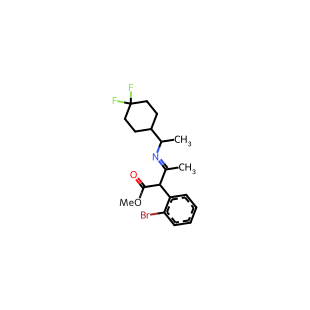 COC(=O)C(C(C)=NC(C)C1CCC(F)(F)CC1)c1ccccc1Br